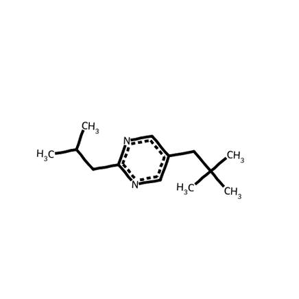 CC(C)Cc1ncc(CC(C)(C)C)cn1